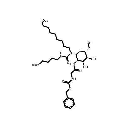 CCCCCCCCCCCCCCCCCCN(C(=O)NCCCCCCCCCCCCCC)[C@@H]1O[C@H](CO)[C@@H](O)[C@H](O)[C@H]1NC(=O)CNC(=O)OCc1ccccc1